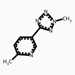 Cc1ccc(-c2nnn(C)n2)cn1